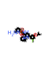 CC(C)COc1cc(F)cc(-c2ccc(C(=O)NS(=O)(=O)c3cccc(N)n3)c(N3CCCCC3(C)C)n2)c1